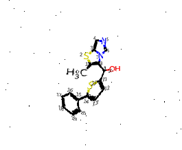 Cc1sc2cncn2c1C(O)c1ccc(-c2ccccc2)s1